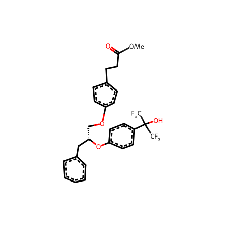 COC(=O)CCc1ccc(OC[C@@H](Cc2ccccc2)Oc2ccc(C(O)(C(F)(F)F)C(F)(F)F)cc2)cc1